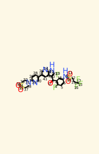 O=C(c1c(F)ccc(NS(=O)(=O)CCC(F)(F)F)c1F)c1c[nH]c2ncc(-c3ccc(N4CCS(=O)(=O)CC4)nc3)cc12